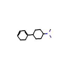 CN(C)C1CCC(C2=CC=CC[CH]2)CC1